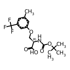 Cc1cc(OC[C@@H](NC(=O)OC(C)(C)C)C(=O)O)cc(C(F)(F)F)c1